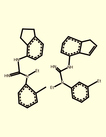 CCN(C(=N)Nc1cccc2c1CCC2)c1ccccc1C.CCc1cccc(N(CC)C(=N)Nc2cccc3c2C=CC3)c1